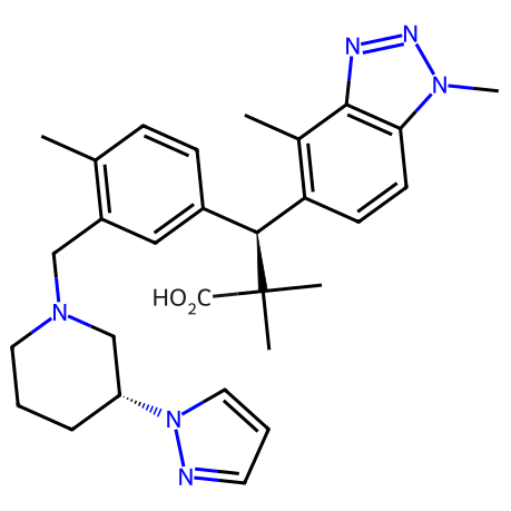 Cc1ccc([C@@H](c2ccc3c(nnn3C)c2C)C(C)(C)C(=O)O)cc1CN1CCC[C@@H](n2cccn2)C1